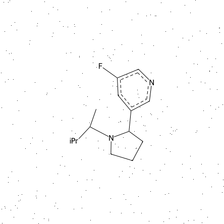 CC(C)C(C)N1CCCC1c1cncc(F)c1